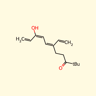 C=C/C(=C\C=C(\O)C=C)CCC(=O)C(C)(C)C